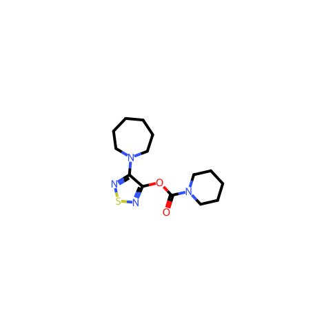 O=C(Oc1nsnc1N1CCCCCC1)N1CCCCC1